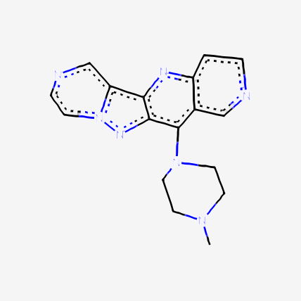 CN1CCN(c2c3cnccc3nc3c2nn2ccncc32)CC1